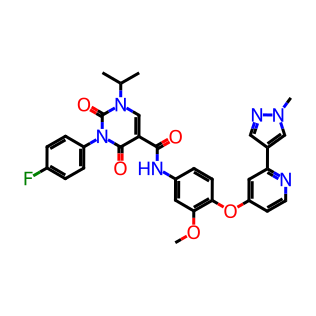 COc1cc(NC(=O)c2cn(C(C)C)c(=O)n(-c3ccc(F)cc3)c2=O)ccc1Oc1ccnc(-c2cnn(C)c2)c1